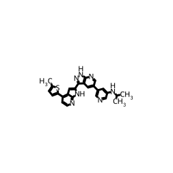 Cc1ccc(-c2ccnc3[nH]c(-c4n[nH]c5ncc(-c6cncc(NC(C)C)c6)cc45)cc23)s1